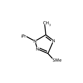 CSc1nc(C)n(C(C)C)n1